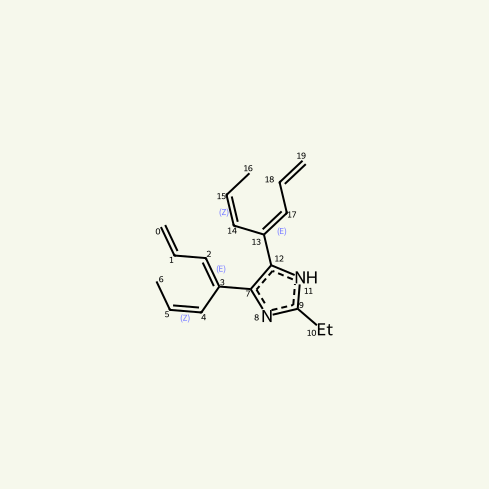 C=C/C=C(\C=C/C)c1nc(CC)[nH]c1C(/C=C\C)=C/C=C